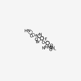 CCN(C)S(=O)(=O)Nc1ccc(F)c(Oc2ccc3ncn(C4COC5(CCNCC5)C4)c(=O)c3c2Br)c1C#N